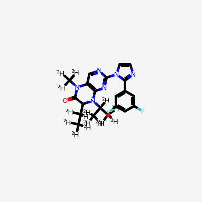 [2H]C([2H])([2H])N1C(=O)C(C([2H])([2H])C([2H])([2H])[2H])N(C([2H])(C([2H])([2H])[2H])C([2H])([2H])[2H])c2nc(-n3ccnc3-c3cc(F)cc(F)c3)ncc21